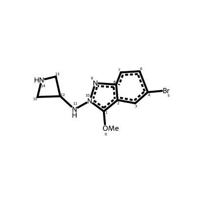 COc1c2cc(Br)ccc2nn1NC1CNC1